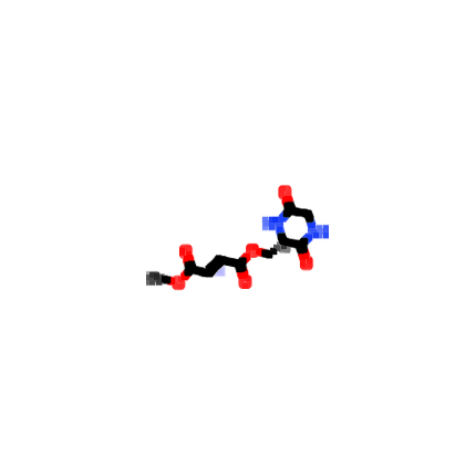 CC(C)OC(=O)/C=C/C(=O)OC[C@@H]1NC(=O)CNC1=O